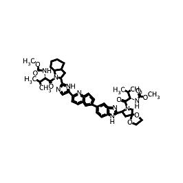 COC(=O)N[C@H](C(=O)N1CC2(CC1c1nc3cc(-c4ccc5nc(-c6cnc(C7CC8CCCCC8N7C(=O)[C@@H](NC(=O)OC)C(C)C)[nH]6)ccc5c4)ccc3[nH]1)OCCO2)C(C)C